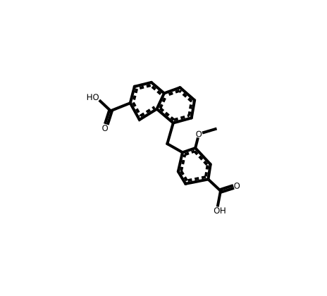 COc1cc(C(=O)O)ccc1Cc1cccc2ccc(C(=O)O)cc12